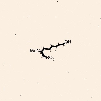 CNC(=C[N+](=O)[O-])CCCCCCO